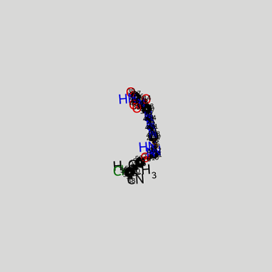 CC(C)(c1ccc(OCc2ccnc(NSC3CCN(C4CN(C5CN(c6ccc7c(c6)C(=O)N(C6CCC(=O)NC6=O)C7=O)C5)C4)CC3)n2)cc1)c1cc(Cl)cc(C#N)c1